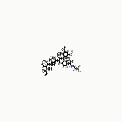 C=CC(=O)NC1CCOCC1Nc1cc(N(CC2CCN(C(=O)/C=C/CN(C)C)CC2)C(=O)Nc2c(Cl)c(OC)cc(OC)c2Cl)ncn1